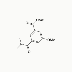 COC(=O)c1cc(OC)cc(C(=O)N(C)C)c1